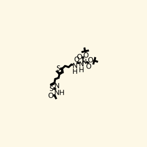 CC(=O)Nc1nc(CCc2csc(CCCNC(=O)NN(C(=O)OC(C)(C)C)C(=O)OC(C)(C)C)c2)cs1